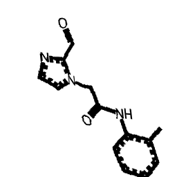 Cc1ccccc1NC(=O)Cn1ccnc1C=O